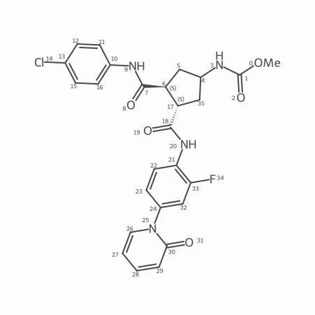 COC(=O)NC1C[C@H](C(=O)Nc2ccc(Cl)cc2)[C@@H](C(=O)Nc2ccc(-n3ccccc3=O)cc2F)C1